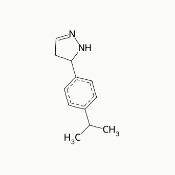 CC(C)c1ccc(C2CC=NN2)cc1